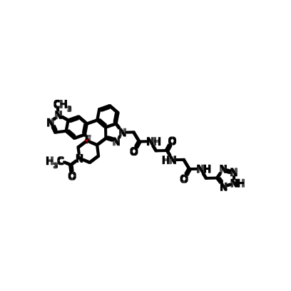 CC(=O)N1CCC(c2nn(CC(=O)NCC(=O)NCC(=O)NCc3nn[nH]n3)c3cccc(-c4cc5c(cnn5C)cc4F)c23)CC1